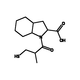 CC(CS)C(=O)N1C(C(=O)O)CC2CCCCC21